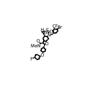 CNC(=O)c1c(-c2ccc(Oc3ccc(F)cc3)cc2)oc2cc(N(Cc3ccc(Br)c(C(F)(F)F)c3)S(C)(=O)=O)c(C3CC3)cc12